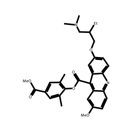 CCC(COc1ccc2nc3ccc(OC)cc3c(C(=O)Oc3c(C)cc(C(=O)OC)cc3C)c2c1)CN(C)C